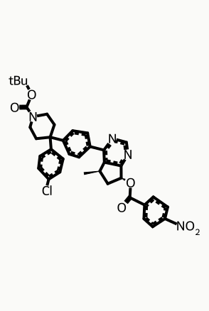 C[C@@H]1C[C@@H](OC(=O)c2ccc([N+](=O)[O-])cc2)c2ncnc(-c3ccc(C4(c5ccc(Cl)cc5)CCN(C(=O)OC(C)(C)C)CC4)cc3)c21